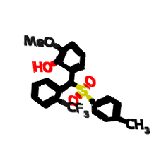 COc1cccc(C(c2ccccc2C(F)(F)F)S(=O)(=O)c2ccc(C)cc2)c1O